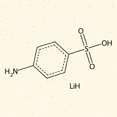 Nc1ccc(S(=O)(=O)O)cc1.[LiH]